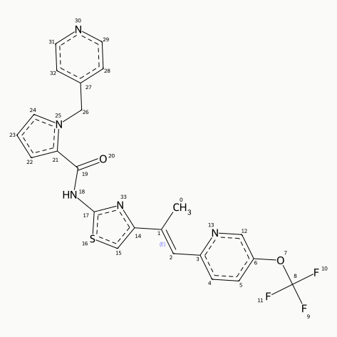 C/C(=C\c1ccc(OC(F)(F)F)cn1)c1csc(NC(=O)c2cccn2Cc2ccncc2)n1